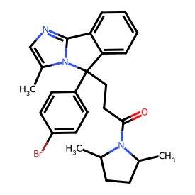 Cc1cnc2n1C(CCC(=O)N1C(C)CCC1C)(c1ccc(Br)cc1)c1ccccc1-2